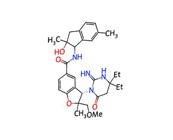 CCC1(CC)CC(=O)N([C@H]2c3cc(C(=O)NC4c5cc(C)ccc5CC4(C)O)ccc3OC2(C)COC)C(=N)N1